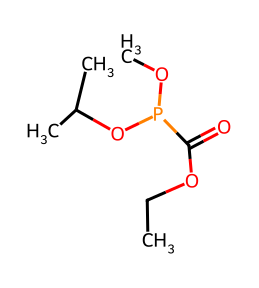 CCOC(=O)P(OC)OC(C)C